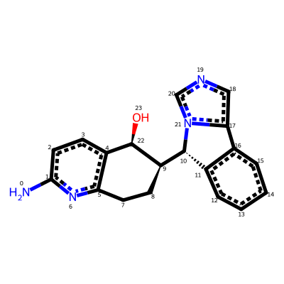 Nc1ccc2c(n1)CC[C@H]([C@H]1c3ccccc3-c3cncn31)[C@@H]2O